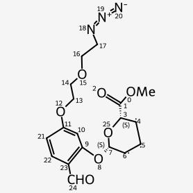 COC(=O)[C@@H]1[CH][CH][CH][C@H](Oc2cc(OCCOCCN=[N+]=[N-])ccc2C=O)O1